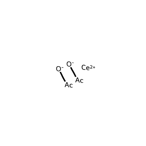 CC(=O)[O-].CC(=O)[O-].[Ce+2]